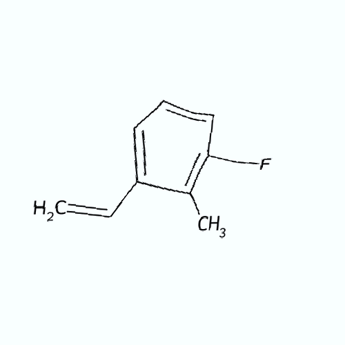 C=Cc1cccc(F)c1C